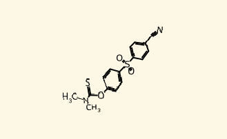 CN(C)C(=S)Oc1ccc(S(=O)(=O)c2ccc(C#N)cc2)cc1